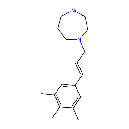 Cc1cc(C=CCN2CCC[N]CC2)cc(C)c1C